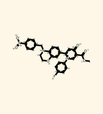 COC(=O)c1cn(-c2ccc(F)cc2)c(-c2ccc3c(c2)OCCN3Cc2ccc([N+](=O)[O-])cc2)cc1=O